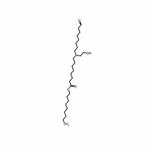 CCCCCCCCCOC(=O)CCCCCCCN(CCO)CCCCCCCC=O